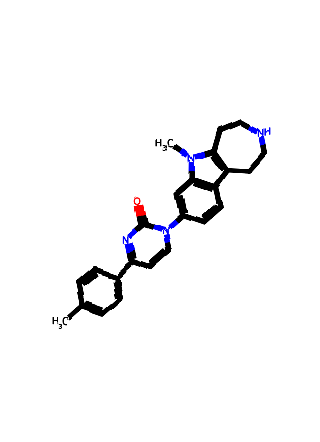 Cc1ccc(-c2ccn(-c3ccc4c5c(n(C)c4c3)CCNCC5)c(=O)n2)cc1